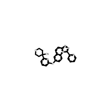 N#CC1(c2cccc(Sc3ccc4c(ccc5nnc(-c6ccccn6)n54)c3)n2)CCOCC1